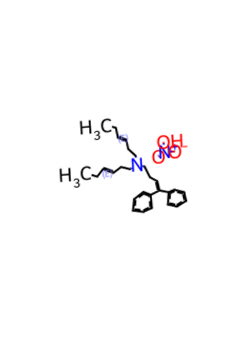 CC/C=C/CCN(CCC=C(c1ccccc1)c1ccccc1)CC/C=C/CC.O=[N+]([O-])O